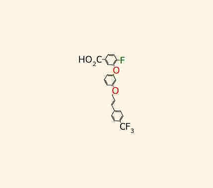 O=C(O)c1ccc(F)c(Oc2cccc(OCC=Cc3ccc(C(F)(F)F)cc3)c2)c1